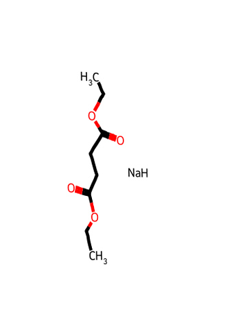 CCOC(=O)CCC(=O)OCC.[NaH]